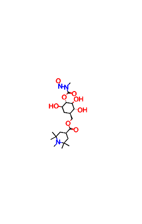 CN(N=O)C(=O)O[C@@H]1[C@@H](O)[C@H](O)[C@@H](COC(=O)C2CC(C)(C)N(C)C(C)(C)C2)C[C@H]1O